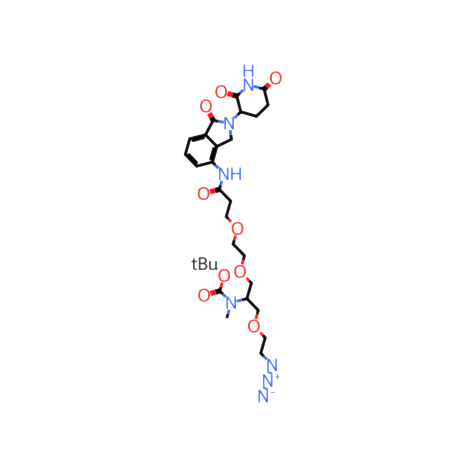 CN(C(=O)OC(C)(C)C)C(COCCN=[N+]=[N-])COCCOCCC(=O)Nc1cccc2c1CN(C1CCC(=O)NC1=O)C2=O